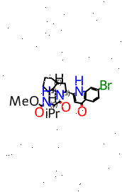 COC(=O)N[C@H](C(=O)N1[C@H](c2cc(=O)c3ccc(Br)cc3[nH]2)C[C@@H]2CCCC[C@@H]21)C(C)C